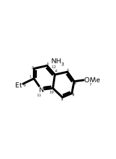 CCc1ccc2cc(OC)ccc2n1.N